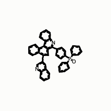 O=P(c1ccccc1)(c1ccccc1)c1ccc(-c2nc3ccccc3c3c2cc(-c2cnc4ccccc4c2)c2ccccc23)cc1